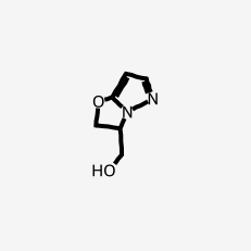 OCC1COc2ccnn21